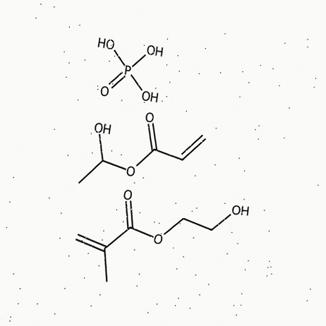 C=C(C)C(=O)OCCO.C=CC(=O)OC(C)O.O=P(O)(O)O